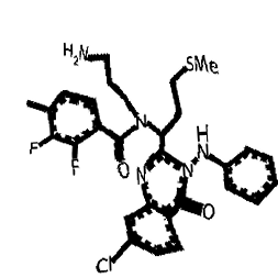 CSCCC(c1nc2cc(Cl)ccc2c(=O)n1Nc1ccccc1)N(CCCN)C(=O)c1ccc(C)c(F)c1F